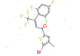 Cc1cc(C(=O)/C=C(\c2c(F)cc(F)cc2F)C(F)(F)F)sc1Br